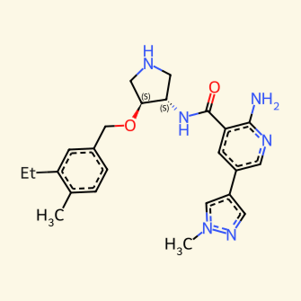 CCc1cc(CO[C@H]2CNC[C@@H]2NC(=O)c2cc(-c3cnn(C)c3)cnc2N)ccc1C